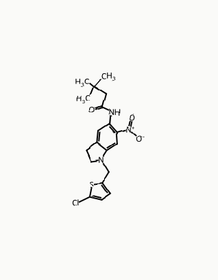 CC(C)(C)CC(=O)Nc1cc2c(cc1[N+](=O)[O-])N(Cc1ccc(Cl)s1)CC2